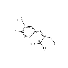 CCC(=Cc1ccc(F)c(N)c1)C(=O)O